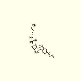 COc1ccc(C(C)(C)c2csc(NC(=O)NCCCCO)n2)cc1